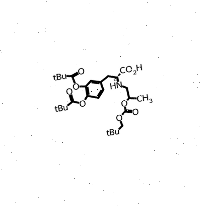 CC(CN[C@@H](Cc1ccc(OC(=O)C(C)(C)C)c(OC(=O)C(C)(C)C)c1)C(=O)O)OC(=O)OCC(C)(C)C